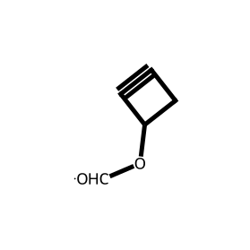 O=[C]OC1C#CC1